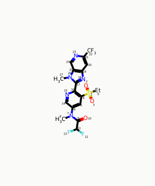 CCS(=O)(=O)c1cc(N(C)C(=O)C(F)F)cnc1-c1nc2cc(C(F)(F)F)ncc2n1C